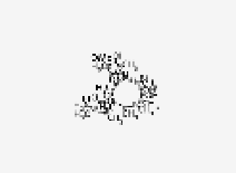 CCO[C@H]1[C@H](O[C@@H]2[C@@H](C)[C@H](O[C@H]3C[C@@](C)(OC)[C@@H](O)[C@H](C)O3)[C@@H](C)C(=O)O[C@H](CC)[C@@](C)(O)[C@H](O)[C@@H](C)N(C)C[C@H](C)C[C@@]2(C)O)O[C@H](C)C[C@@H]1N(C)C